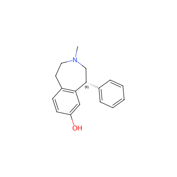 CN1CCc2ccc(O)cc2[C@@H](c2ccccc2)C1